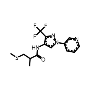 CSCC(C)C(=O)Nc1cn(-c2cccnc2)nc1C(F)(F)F